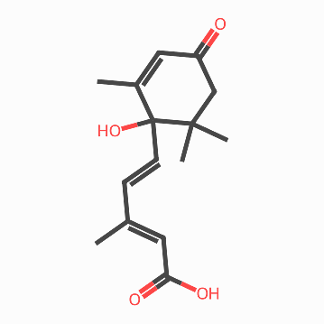 CC(C=CC1(O)C(C)=CC(=O)CC1(C)C)=CC(=O)O